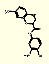 COc1cc(NC(=O)C2CNc3ccc(C)cc3O2)ccc1C(C)(C)C